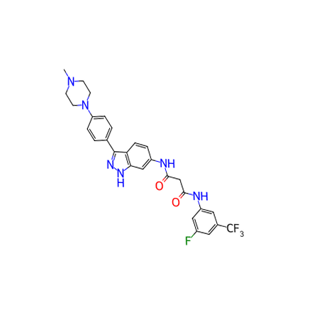 CN1CCN(c2ccc(-c3n[nH]c4cc(NC(=O)CC(=O)Nc5cc(F)cc(C(F)(F)F)c5)ccc34)cc2)CC1